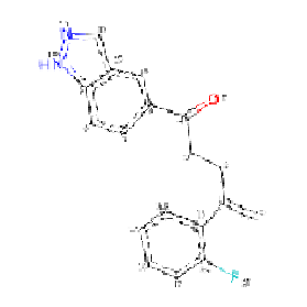 C=C(CCC(=O)c1ccc2[nH]ncc2c1)c1ccccc1F